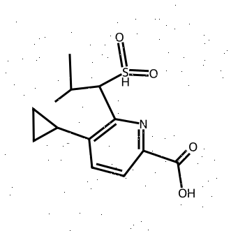 CC(C)C(c1nc(C(=O)O)ccc1C1CC1)[SH](=O)=O